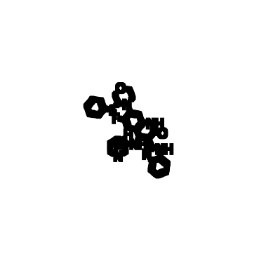 O=c1[nH]c2cc(N3CCOCC3Sc3ccccc3)c(F)cc2c(N[C@H]2CN3CCC2CC3)c1-c1nc2ccccc2[nH]1